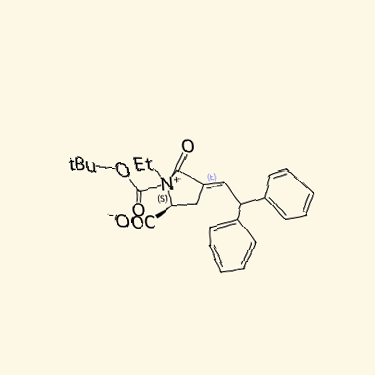 CC[N+]1(C(=O)OC(C)(C)C)C(=O)/C(=C/C(c2ccccc2)c2ccccc2)C[C@H]1C(=O)[O-]